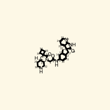 CC1(C(=O)N(CC(=O)Nc2ccc3c(c2)C[C@@]2(C3)C(=O)Nc3ncccc32)[C@H]2CCCNC2)CCC1